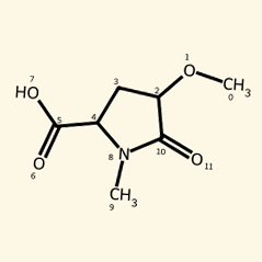 COC1CC(C(=O)O)N(C)C1=O